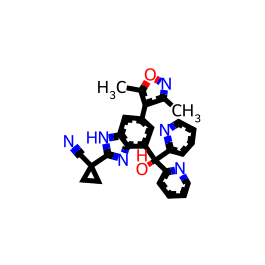 Cc1noc(C)c1-c1cc(C(O)(c2ccccn2)c2ccccn2)c2nc(C3(C#N)CC3)[nH]c2c1